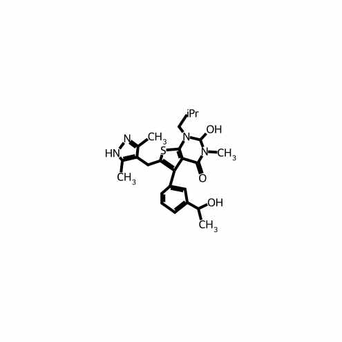 Cc1n[nH]c(C)c1Cc1sc2c(c1-c1cccc(C(C)O)c1)C(=O)N(C)C(O)N2CC(C)C